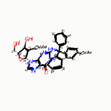 COc1ccc(C(Nc2nc3c(ncn3[C@@H]3O[C@H](CO)C(O)C3OC)c(=O)[nH]2)(c2ccccc2)c2ccccc2)cc1